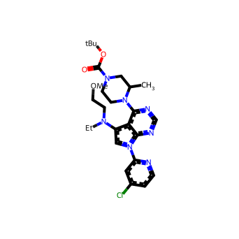 CCN(CCOC)c1cn(-c2cc(Cl)ccn2)c2ncnc(N3CCN(C(=O)OC(C)(C)C)CC3C)c12